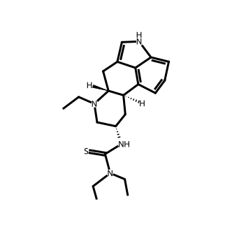 CCN(CC)C(=S)N[C@H]1C[C@@H]2c3cccc4[nH]cc(c34)C[C@H]2N(CC)C1